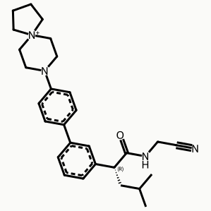 CC(C)C[C@@H](C(=O)NCC#N)c1cccc(-c2ccc(N3CC[N+]4(CCCC4)CC3)cc2)c1